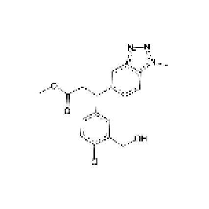 COC(=O)CC(c1ccc(Cl)c(CO)c1)c1ccc2c(c1)nnn2C